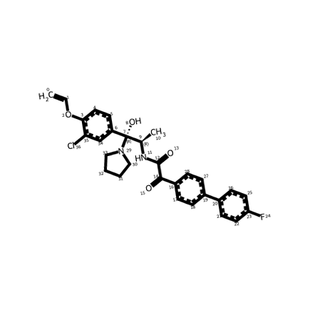 C=COc1ccc([C@@](O)([C@@H](C)NC(=O)C(=O)c2ccc(-c3ccc(F)cc3)cc2)N2CCCC2)cc1Cl